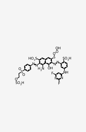 Nc1c(/N=N/c2ccc(S(=O)(=O)CCOS(=O)(=O)O)cc2)c(S(=O)(=O)O)cc2cc(SOOO)c(/N=N/c3cc(Nc4cc(F)nc(F)n4)ccc3S(=O)(=O)O)c(O)c12